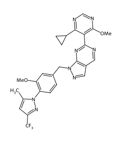 COc1cc(Cn2ncc3cnc(-c4c(OC)ncnc4C4CC4)nc32)ccc1-n1nc(C(F)(F)F)cc1C